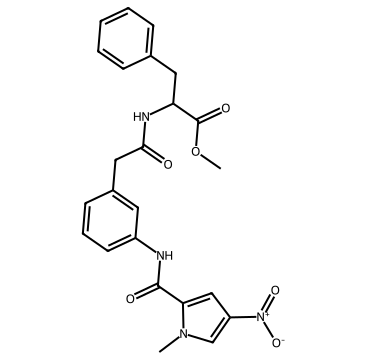 COC(=O)C(Cc1ccccc1)NC(=O)Cc1cccc(NC(=O)c2cc([N+](=O)[O-])cn2C)c1